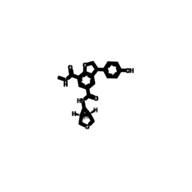 CNC(=O)c1cc(C(=O)NC2[C@H]3COC[C@@H]23)cc2c1OCC2c1ccc(O)cc1